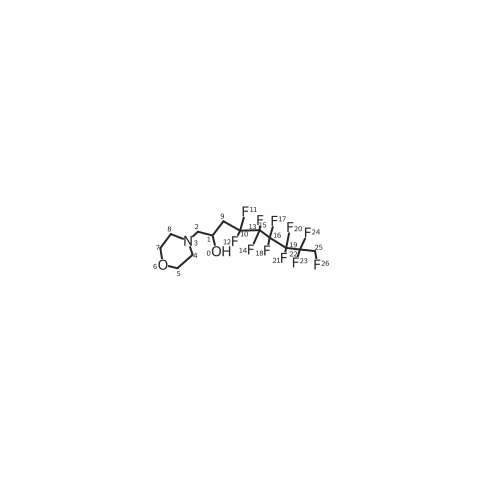 OC(CN1CCOCC1)CC(F)(F)C(F)(F)C(F)(F)C(F)(F)C(F)(F)CF